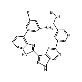 CCNCc1cncc(-c2cc3c(-c4nc5c(-c6cc(C)cc(F)c6)cccc5[nH]4)n[nH]c3cn2)c1